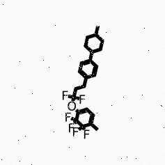 CC1=CC=C(OC(F)(F)CCc2ccc(C3CCC(C)CC3)cc2)C(F)(F)C1(F)F